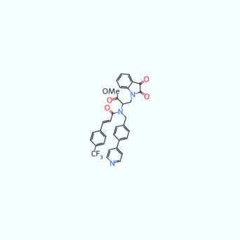 COC(=O)C(CN1C(=O)C(=O)c2ccccc21)N(Cc1ccc(-c2ccncc2)cc1)C(=O)C=Cc1ccc(C(F)(F)F)cc1